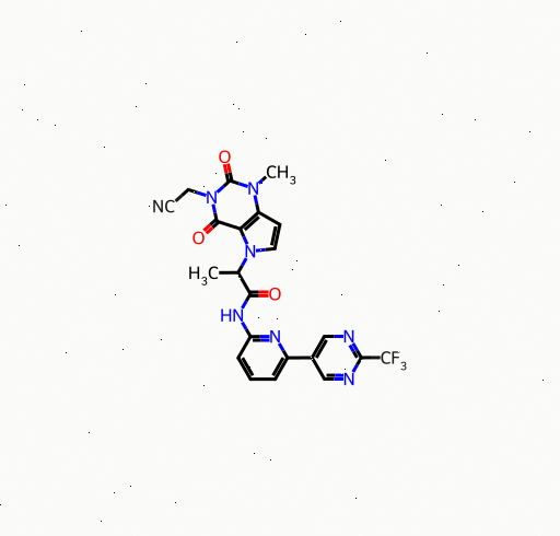 CC(C(=O)Nc1cccc(-c2cnc(C(F)(F)F)nc2)n1)n1ccc2c1c(=O)n(CC#N)c(=O)n2C